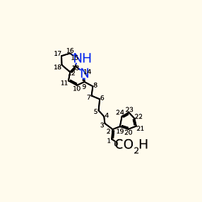 O=C(O)C=C(CCCCCCc1ccc2c(n1)NCCC2)c1ccccc1